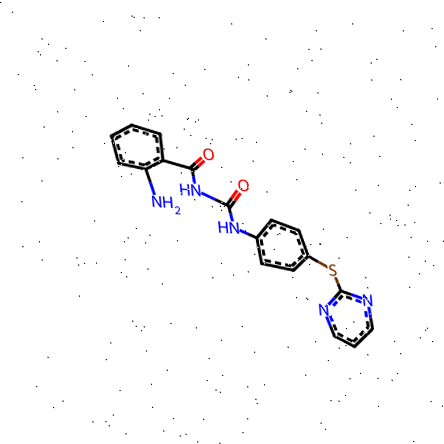 Nc1ccccc1C(=O)NC(=O)Nc1ccc(Sc2ncccn2)cc1